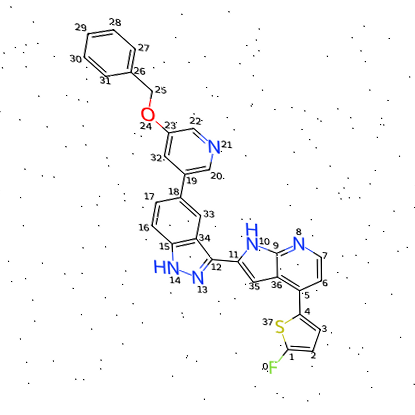 Fc1ccc(-c2ccnc3[nH]c(-c4n[nH]c5ccc(-c6cncc(OCc7ccccc7)c6)cc45)cc23)s1